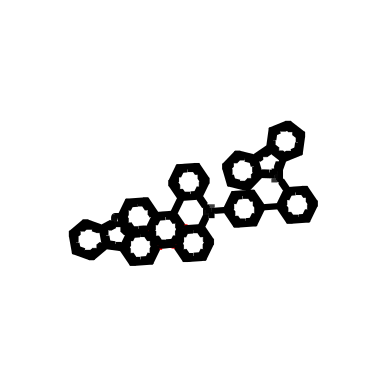 c1cc(-c2ccc3c(c2)oc2ccccc23)cc(N(c2ccc(-c3ccccc3-n3c4ccccc4c4ccccc43)cc2)c2ccccc2-c2cccc3ccccc23)c1